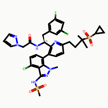 Cn1nc(NS(C)(=O)=O)c2c(Cl)ccc(-c3ccc(CCC(C)(C)S(=O)(=O)C4CC4)nc3[C@H](Cc3cc(F)cc(F)c3)NC(=O)Cn3cccn3)c21